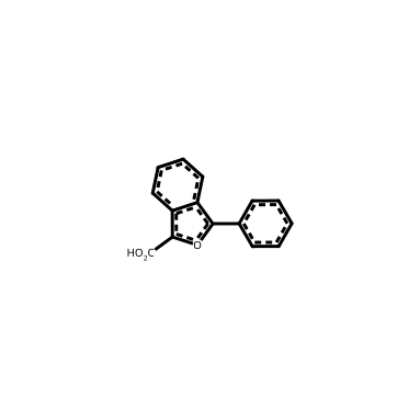 O=C(O)c1oc(-c2ccccc2)c2ccccc12